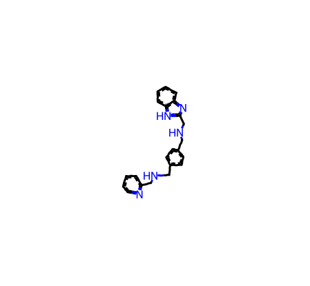 c1ccc(CNCc2ccc(CNCc3nc4ccccc4[nH]3)cc2)nc1